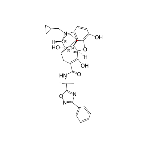 CC(C)(NC(=O)C1=C(O)[C@@H]2Oc3c(O)ccc4c3[C@@]23C2CN(CC5CC5)[C@H](C4)[C@]3(O)C2C1)c1nc(-c2ccccc2)no1